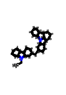 CCn1c2ccccc2c2ccc(Cc3ccc4c5cccc6c7ccccc7n(c4c3)c65)cc21